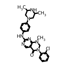 CC1CN(c2ccc(Nc3ncc4c(n3)N(C)CN(c3ccccc3Cl)C4=O)cc2)CC(C)N1